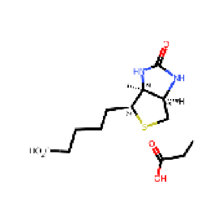 CCC(=O)O.O=C(O)CCCC[C@@H]1SC[C@@H]2NC(=O)N[C@@H]21